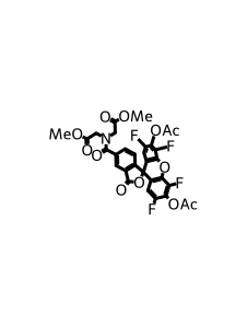 COC(=O)CN(CC(=O)OC)C(=O)c1ccc2c(c1)C(=O)OC21c2cc(F)c(OC(C)=O)c(F)c2Oc2c1cc(F)c(OC(C)=O)c2F